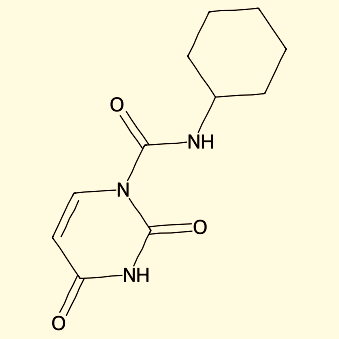 O=C(NC1CCCCC1)n1ccc(=O)[nH]c1=O